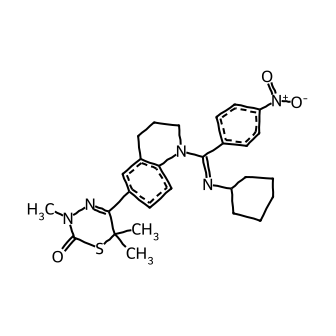 CN1N=C(c2ccc3c(c2)CCCN3C(=NC2CCCCC2)c2ccc([N+](=O)[O-])cc2)C(C)(C)SC1=O